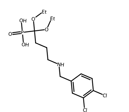 CCOC(CCCNCc1ccc(Cl)c(Cl)c1)(OCC)P(=O)(O)O